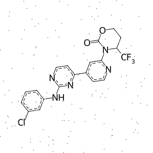 O=C1OCCC(C(F)(F)F)N1c1cc(-c2ccnc(Nc3cccc(Cl)c3)n2)ccn1